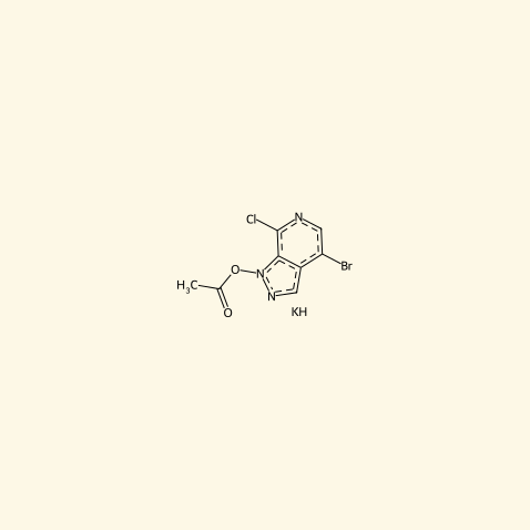 CC(=O)On1ncc2c(Br)cnc(Cl)c21.[KH]